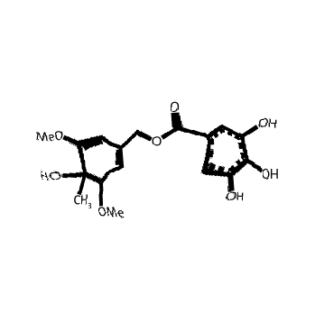 COC1=CC(COC(=O)c2cc(O)c(O)c(O)c2)=CC(OC)C1(C)O